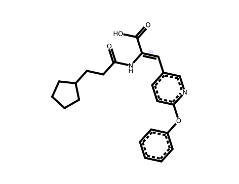 O=C(CCC1CCCC1)N/C(=C\c1ccc(Oc2ccccc2)nc1)C(=O)O